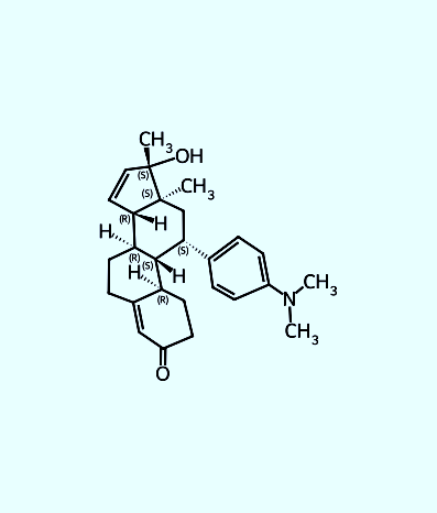 CN(C)c1ccc([C@H]2C[C@@]3(C)[C@@H](C=C[C@]3(C)O)[C@@H]3CCC4=CC(=O)CC[C@@H]4[C@H]32)cc1